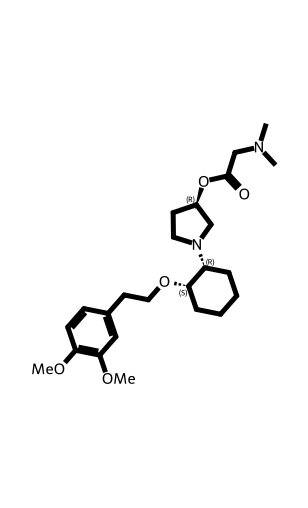 COc1ccc(CCO[C@H]2CCCC[C@H]2N2CC[C@@H](OC(=O)CN(C)C)C2)cc1OC